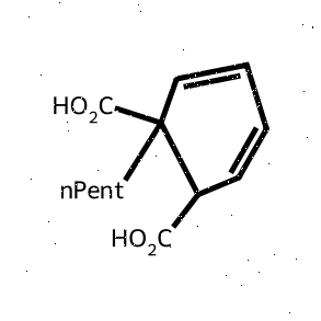 CCCCCC1(C(=O)O)C=CC=CC1C(=O)O